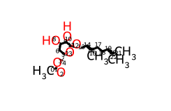 CC(=O)OC[C@@H]1C[C@H](O)[C@@H](O)C(OC/C=C(\C)CCC=C(C)C)O1